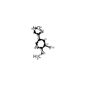 COc1ncc(-c2cnon2)cc1F